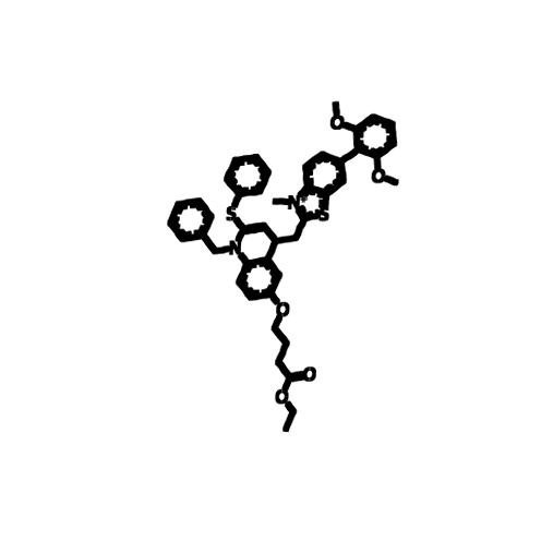 CCOC(=O)CCCOc1ccc2c(c1)C(Cc1sc3cc(-c4c(OC)cccc4OC)ccc3[n+]1C)C=C(Sc1ccccc1)N2Cc1ccccc1